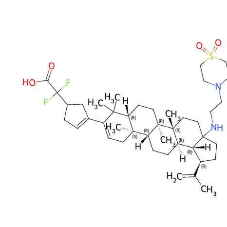 C=C(C)[C@@H]1CCC2(NCCN3CCS(=O)(=O)CC3)CC[C@]3(C)[C@H](CC[C@@H]4[C@@]5(C)CC=C(C6=CCC(C(F)(F)C(=O)O)C6)C(C)(C)[C@@H]5CC[C@]43C)[C@@H]12